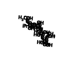 CC(O)COCC1OC(CO)C(O)C(O)C1COCC1OC(O)C(COCC2OC(O)C(COCC3OC(COCC(C)O)C(C(C)C)C(O)C3O)C(O)C2O)C(O)C1O